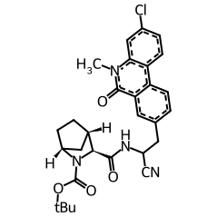 Cn1c(=O)c2cc(CC(C#N)NC(=O)[C@@H]3[C@H]4CC[C@H](C4)N3C(=O)OC(C)(C)C)ccc2c2ccc(Cl)cc21